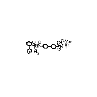 COC(=O)C(NS(=O)(=O)c1ccc(-c2ccc(NC(=O)c3oc4cccc(-c5ccoc5)c4c3C)cc2)cc1)C(C)C